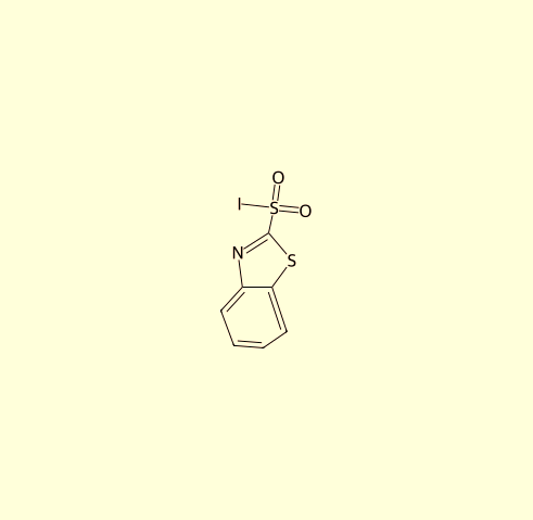 O=S(=O)(I)c1nc2ccccc2s1